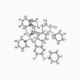 Cc1cc2c(cc1Cc1ccccc1)-c1ccc(CC(C)C(C)Cc3ccccc3)[c]([Zr]([C]3=CC=CC3)=[C](Cc3ccccc3)Cc3ccccc3)c1C2